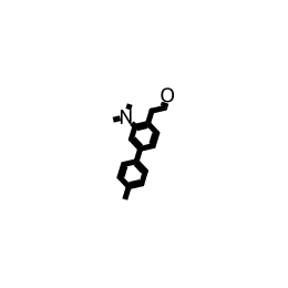 Cc1ccc(-c2ccc(CC=O)c(N(C)C)c2)cc1